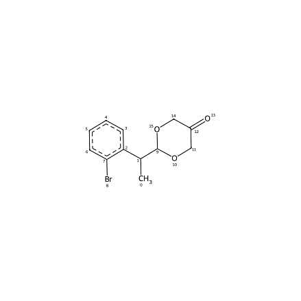 CC(c1ccccc1Br)C1OCC(=O)CO1